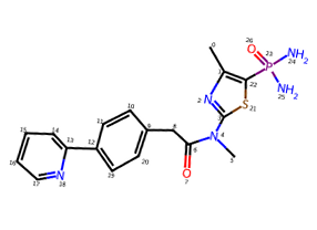 Cc1nc(N(C)C(=O)Cc2ccc(-c3ccccn3)cc2)sc1P(N)(N)=O